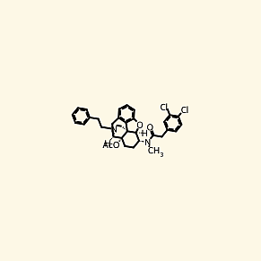 CC(=O)O[C@@]12CC[C@@H](N(C)C(=O)Cc3ccc(Cl)c(Cl)c3)[C@@H]3Oc4cccc5c4[C@@]31CCN(CCc1ccccc1)[C@@H]2C5